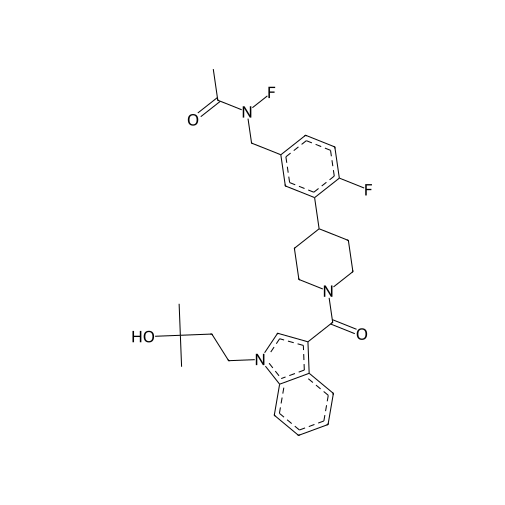 CC(=O)N(F)Cc1ccc(F)c(C2CCN(C(=O)c3cn(CCC(C)(C)O)c4ccccc34)CC2)c1